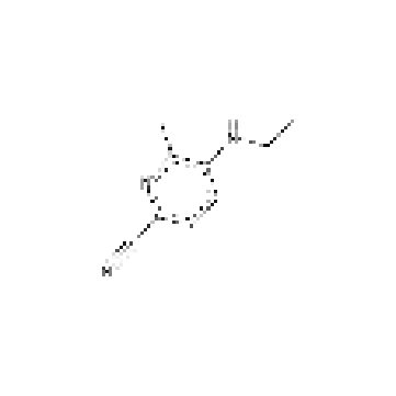 CCNc1ccc(C#N)nc1C